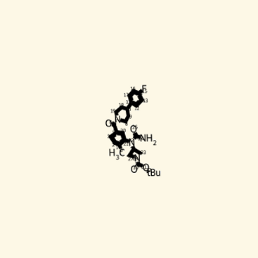 Cc1ccc(C(=O)N2CCC(c3ccc(F)cc3)CC2)cc1N(C(N)=O)C1CN(C(=O)OC(C)(C)C)C1